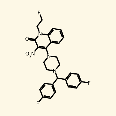 O=c1c([N+](=O)[O-])c(N2CCN(C(c3ccc(F)cc3)c3ccc(F)cc3)CC2)c2ccccc2n1CCF